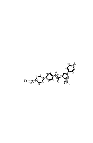 CCOC(=O)N1CCN(c2ccc(NC(=O)c3cn(-c4ccc(F)cc4)nc3C(F)(F)F)cn2)CC1